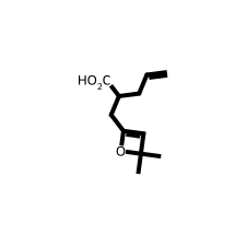 C=CCC(CC1=CC(C)(C)O1)C(=O)O